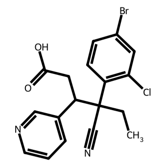 CCC(C#N)(c1ccc(Br)cc1Cl)C(CC(=O)O)c1cccnc1